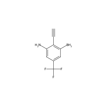 Bc1cc(C(F)(F)F)cc(N)c1C#C